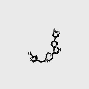 Cn1cc(-c2ccc3c(N4CCN(Cc5csc(Cl)c5)CC4)cnn3c2)cn1